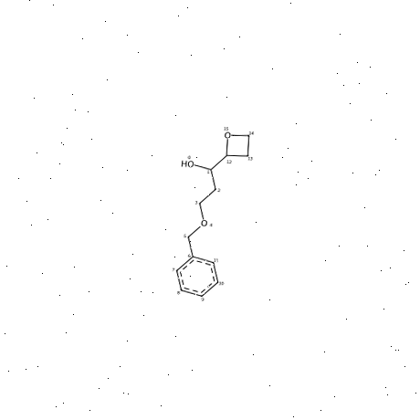 OC(CCOCc1ccccc1)C1CCO1